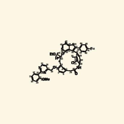 CCOC(=O)[C@H]1Cc2cc(ccc2OCc2ccnc(-c3ccccc3OC)n2)CC(=O)Nc2ccc(c(C)c2Cl)-c2c(-c3ccc(F)cc3)sc3ncnc(c23)O1